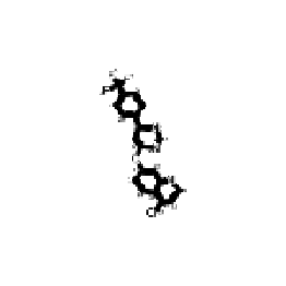 FC(F)(F)c1ccc(-c2cc(Oc3ccc4c(Cl)ccnc4c3)ncn2)cc1